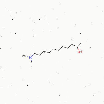 CC(=O)N(C)CCCCCCCCCC(C)O